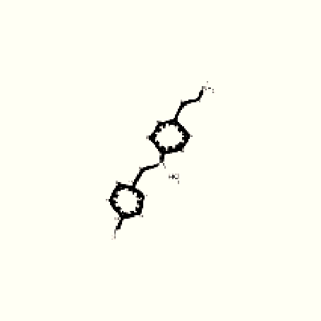 Cl.NCCc1ccc(OCc2ccc(F)cc2)cc1